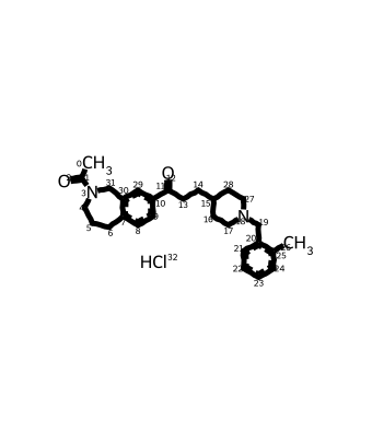 CC(=O)N1CCCc2ccc(C(=O)CCC3CCN(Cc4ccccc4C)CC3)cc2C1.Cl